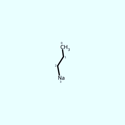 CC[CH2][Na]